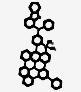 C[Si]1(C)c2cc(N(c3ccccc3)c3cccc4c3oc3ccccc34)ccc2-c2ccc(N(c3ccccc3-c3ccccc3)c3c(F)cc(-c4ccccc4)cc3-c3ccccc3)c3cccc1c23